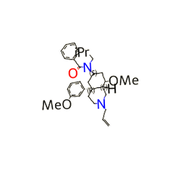 C=CCN1CC[C@@]2(c3cccc(OC)c3)C[C@H](N(CC(C)C)C(=O)c3ccccc3)CC(OC)[C@@H]2C1